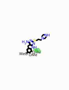 COc1cc(Cc2c(N)nc(SCCCN3CCNCC3)nc2N)cc(OC)c1OC.Cl.Cl.Cl